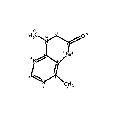 Cc1ncnc2c1NC(=O)CN2C